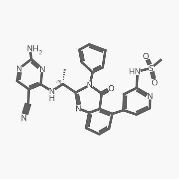 C[C@@H](Nc1nc(N)ncc1C#N)c1nc2cccc(-c3ccnc(NS(C)(=O)=O)c3)c2c(=O)n1-c1ccccc1